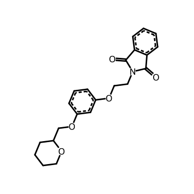 O=C1c2ccccc2C(=O)N1CCOc1cccc(OCC2CCCCO2)c1